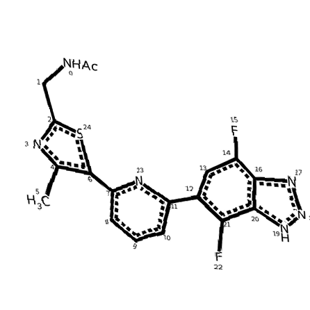 CC(=O)NCc1nc(C)c(-c2cccc(-c3cc(F)c4nn[nH]c4c3F)n2)s1